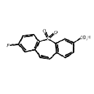 O=C(O)c1ccc2c(c1)S(=O)(=O)c1ccc(F)cc1C=C2